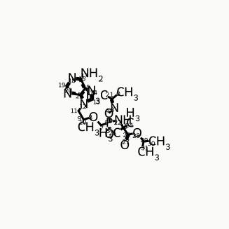 CC(C)=NOP(=O)(CO[C@@H](C)Cn1cnc2c(N)ncnc21)NC(C)(C)C(=O)OC(C)C